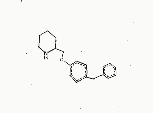 c1ccc(Cc2ccc(OCC3CCCCN3)cc2)cc1